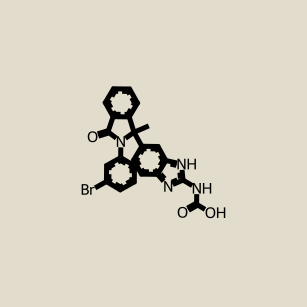 CC1(c2ccc3nc(NC(=O)O)[nH]c3c2)c2ccccc2C(=O)N1c1cccc(Br)c1